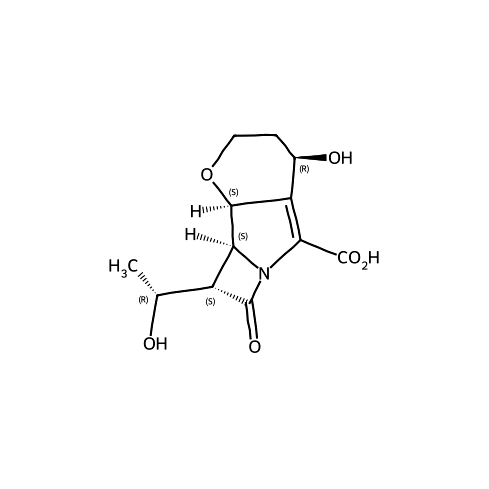 C[C@@H](O)[C@H]1C(=O)N2C(C(=O)O)=C3[C@H](O)CCO[C@@H]3[C@H]12